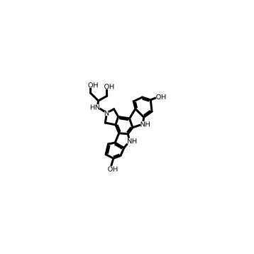 OCC(CO)NN1Cc2c(c3c4ccc(O)cc4[nH]c3c3[nH]c4cc(O)ccc4c23)C1